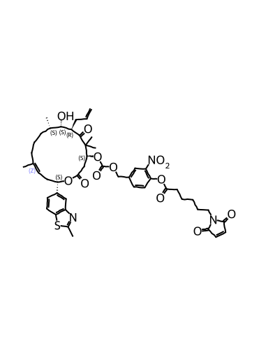 C=CC[C@H]1C(=O)C(C)(C)[C@@H](OC(=O)OCc2ccc(OC(=O)CCCCCN3C(=O)C=CC3=O)c([N+](=O)[O-])c2)CC(=O)O[C@H](c2ccc3sc(C)nc3c2)C/C=C(/C)CCC[C@H](C)[C@@H]1O